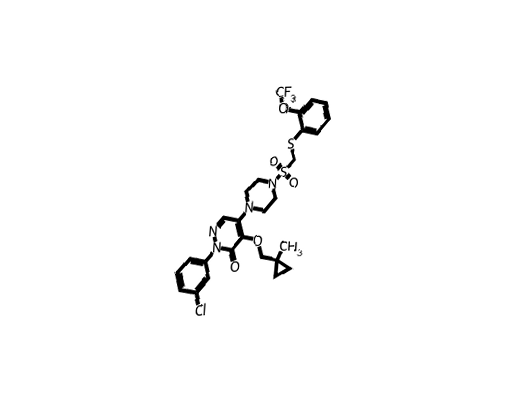 CC1(COc2c(N3CCN(S(=O)(=O)CSc4ccccc4OC(F)(F)F)CC3)cnn(-c3cccc(Cl)c3)c2=O)CC1